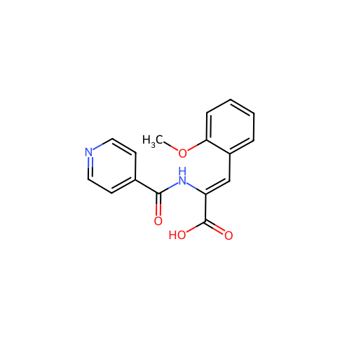 COc1ccccc1C=C(NC(=O)c1ccncc1)C(=O)O